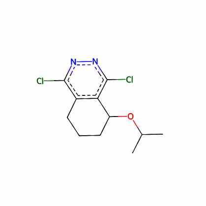 CC(C)OC1CCCc2c(Cl)nnc(Cl)c21